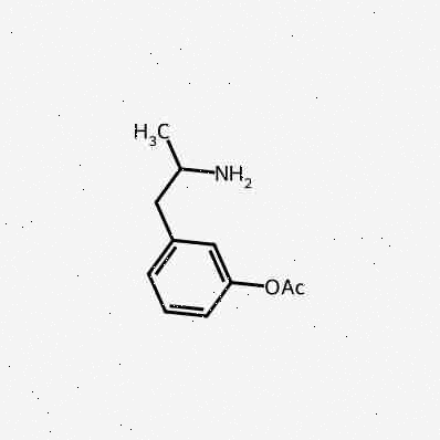 CC(=O)Oc1cccc(CC(C)N)c1